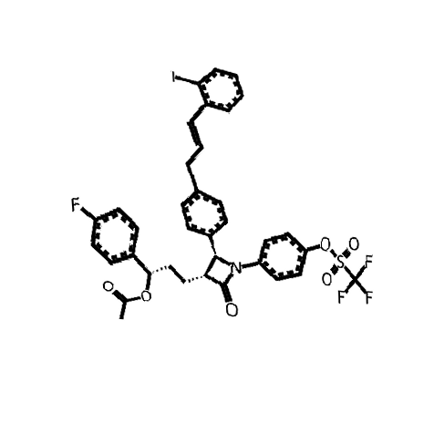 CC(=O)O[C@@H](CC[C@H]1C(=O)N(c2ccc(OS(=O)(=O)C(F)(F)F)cc2)[C@@H]1c1ccc(CC=Cc2ccccc2I)cc1)c1ccc(F)cc1